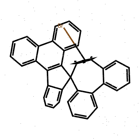 Brc1ccc2c(c1)C1(c3ccccc3-c3ccccc3-2)c2ccccc2-c2c1c1ccccc1c1ccccc21